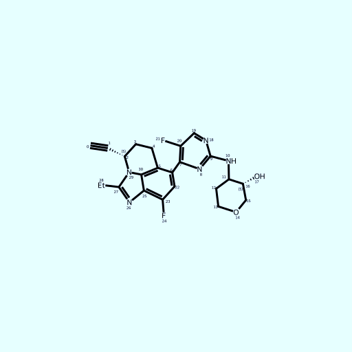 C#C[C@@H]1CCc2c(-c3nc(NC4CCOC[C@H]4O)ncc3F)cc(F)c3nc(CC)n1c23